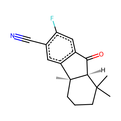 CC1(C)CCC[C@@]2(C)c3cc(C#N)c(F)cc3C(=O)[C@@H]12